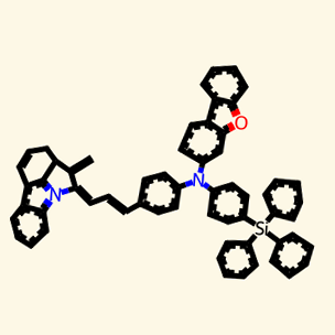 C=C1/C(=C\C=C\c2ccc(N(c3ccc([Si](c4ccccc4)(c4ccccc4)c4ccccc4)cc3)c3ccc4c(c3)oc3ccccc34)cc2)n2c3c(c4ccccc42)C=CCC13